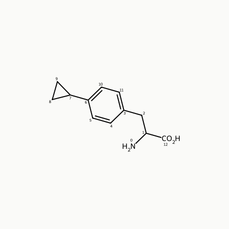 NC(Cc1ccc(C2CC2)cc1)C(=O)O